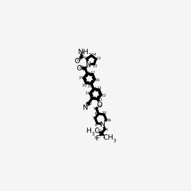 CC(C)(F)CN1CCC(COc2ccc(-c3ccc(C(=O)N4CCC[C@H]4C(N)=O)cc3)cc2C#N)CC1